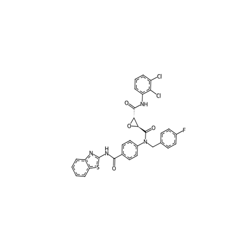 O=C(Nc1nc2ccccc2s1)c1ccc(N(Cc2ccc(F)cc2)C(=O)[C@H]2O[C@@H]2C(=O)Nc2cccc(Cl)c2Cl)cc1